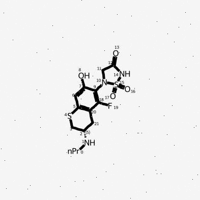 CCCN[C@@H]1CSc2cc(O)c(N3CC(=O)NS3(=O)=O)c(F)c2C1